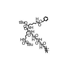 CC(C)(C)OC(=O)NCCCCC(NC(=O)CNC(=O)CNC(=O)CNC(=O)CN=[N+]=[N-])C(=O)NC(CCCCNC(=O)OCc1ccccc1)C(=O)OC(C)(C)C